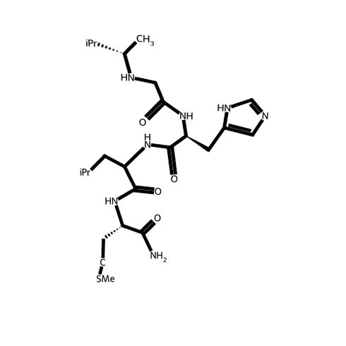 CSCC[C@H](NC(=O)C(CC(C)C)NC(=O)[C@H](Cc1cnc[nH]1)NC(=O)CN[C@@H](C)C(C)C)C(N)=O